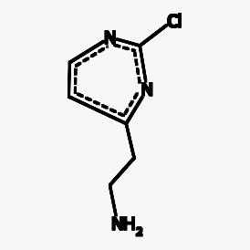 NCCc1ccnc(Cl)n1